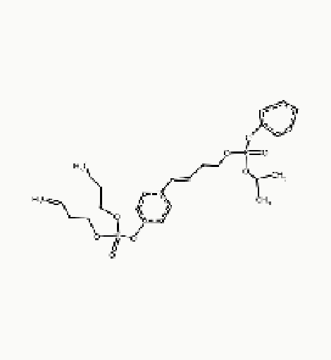 C=CCCOP(=O)(OCCCC)Oc1ccc(/C=C/CCOP(=O)(Oc2ccccc2)OC(C)C)cc1